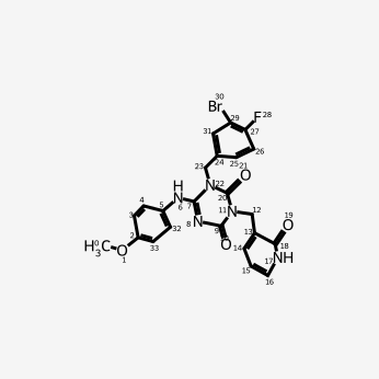 COc1ccc(Nc2nc(=O)n(Cc3ccc[nH]c3=O)c(=O)n2Cc2ccc(F)c(Br)c2)cc1